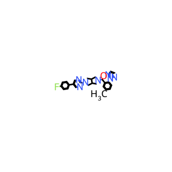 Cc1ccc(-n2nccn2)c(C(=O)N2CC3CN(c4ncc(-c5ccc(F)cc5)cn4)CC3C2)c1